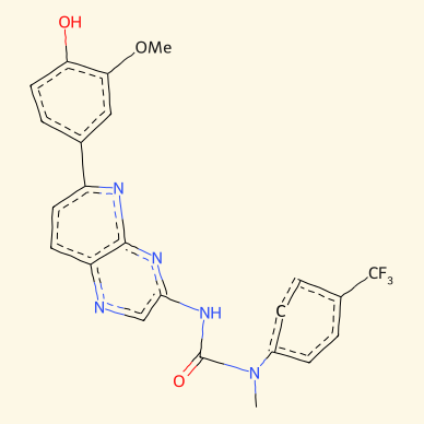 COc1cc(-c2ccc3ncc(NC(=O)N(C)c4ccc(C(F)(F)F)cc4)nc3n2)ccc1O